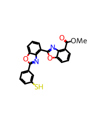 COC(=O)c1cccc2oc(-c3cccc4oc(-c5cccc(S)c5)nc34)nc12